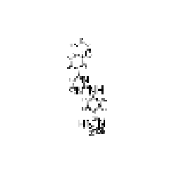 c1cc(-c2ccc3c(c2)OCCC3)nc(Nc2ccc(-c3nnc[nH]3)cc2)n1